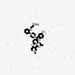 C=CC[C@H]1N(C(=O)C(=C/N=C)/C(=C\C)C(F)(F)F)CCC[C@@]1(Oc1ccc(C(F)(F)F)cc1)C(=O)N1CCN(c2ccccc2OCCOC)CC1